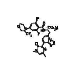 Cc1cn(C)c(=O)c(-c2ccc(C[C@H](NC(=O)c3c(F)cc(N4CCOC[C@@H]4C(F)(F)F)cc3F)C(=O)O)n3ccnc23)n1